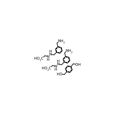 NCc1cccc(CNNCC(=O)O)c1.NCc1cccc(CNNCC(=O)O)c1.OCc1ccc(CO)cc1